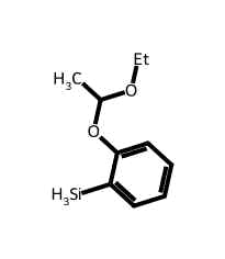 CCOC(C)Oc1ccccc1[SiH3]